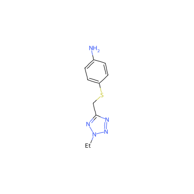 CCn1nnc(CSc2ccc(N)cc2)n1